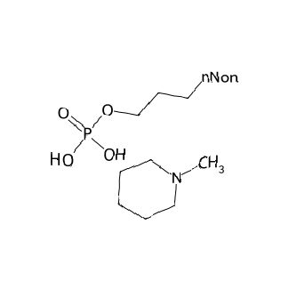 CCCCCCCCCCCCOP(=O)(O)O.CN1CCCCC1